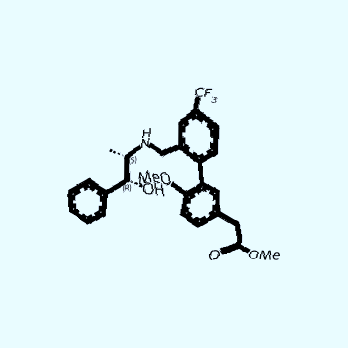 COC(=O)Cc1ccc(OC)c(-c2ccc(C(F)(F)F)cc2CN[C@@H](C)[C@H](O)c2ccccc2)c1